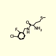 CSCCC(N)C(=O)NCc1cccc(Cl)c1F